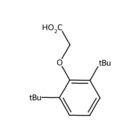 CC(C)(C)c1cccc(C(C)(C)C)c1OCC(=O)O